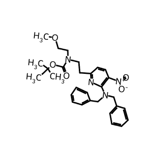 COCCN(CCc1ccc([N+](=O)[O-])c(N(Cc2ccccc2)Cc2ccccc2)n1)C(=O)OC(C)(C)C